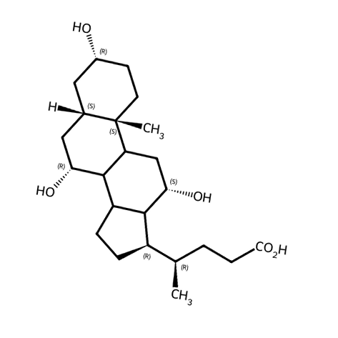 C[C@H](CCC(=O)O)[C@H]1CCC2C3C(C[C@H](O)C21)[C@@]1(C)CC[C@@H](O)C[C@H]1C[C@H]3O